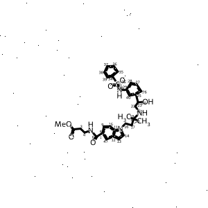 COC(=O)CCNC(=O)c1ccc2c(ccn2CCC(C)(C)NCC(O)c2cccc(NS(=O)(=O)c3ccccc3)c2)c1